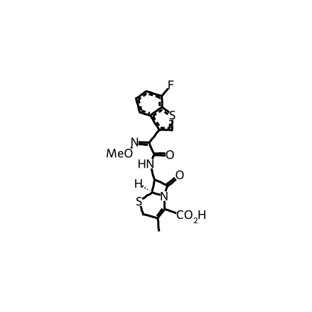 CON=C(C(=O)NC1C(=O)N2C(C(=O)O)=C(C)CS[C@@H]12)c1csc2c(F)cccc12